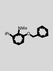 CNc1c(OCc2ccccc2)cccc1C(C)C